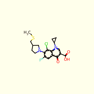 CSCC1CCN(c2c(F)cc3c(=O)c(C(=O)O)cn(C4CC4)c3c2Cl)C1